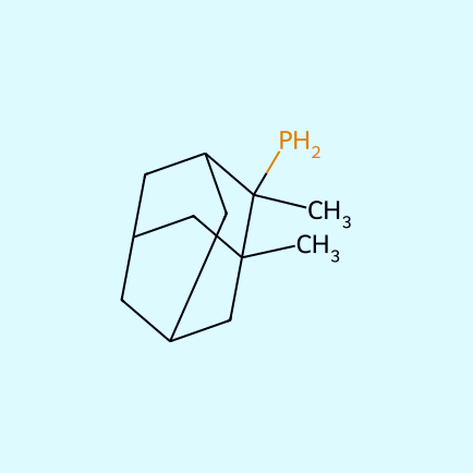 CC12CC3CC(CC(C3)C1(C)P)C2